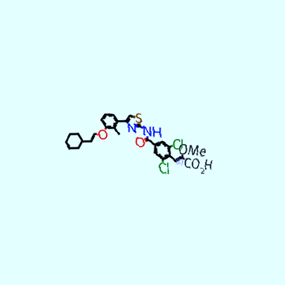 CO/C(=C\c1c(Cl)cc(C(=O)Nc2nc(-c3cccc(OCCC4CCCCC4)c3C)cs2)cc1Cl)C(=O)O